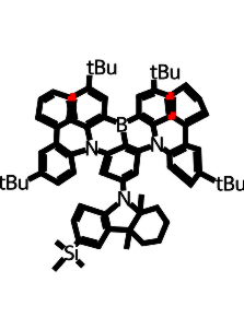 CC(C)(C)c1ccc2c(c1)B1c3cc(C(C)(C)C)ccc3N(c3ccc(C(C)(C)C)cc3-c3ccccc3)c3cc(N4c5ccc([Si](C)(C)C)cc5C5(C)CCCCC45C)cc(c31)N2c1ccc(C(C)(C)C)cc1-c1ccccc1